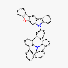 c1ccc(-c2cccc(-c3cccc(-n4c5ccccc5c5cc6c(cc54)oc4ccccc46)c3)c2-n2c3ccccc3c3ccccc32)cc1